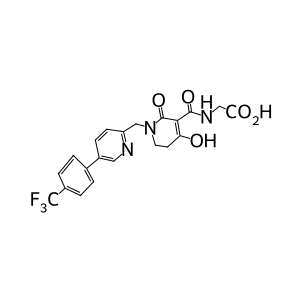 O=C(O)CNC(=O)C1=C(O)CCN(Cc2ccc(-c3ccc(C(F)(F)F)cc3)cn2)C1=O